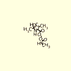 CNC(=O)OCOC(=O)C(NC(C)=O)C(C)C